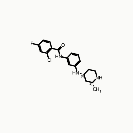 C[C@@H]1C[C@H](Nc2cccc(NC(=O)c3ccc(F)cc3Cl)c2)CCN1